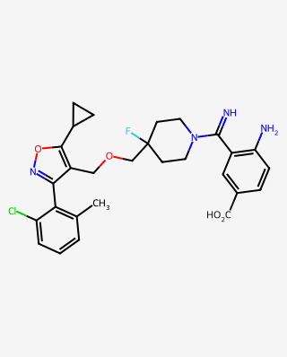 Cc1cccc(Cl)c1-c1noc(C2CC2)c1COCC1(F)CCN(C(=N)c2cc(C(=O)O)ccc2N)CC1